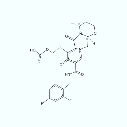 C[C@@H]1CCO[C@H]2Cn3cc(C(=O)NCc4ccc(F)cc4F)c(=O)c(OCOC(=O)O)c3C(=O)N12